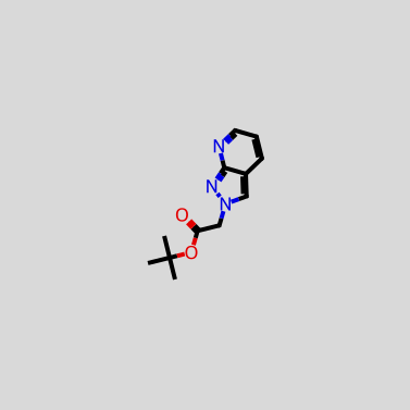 CC(C)(C)OC(=O)Cn1cc2cccnc2n1